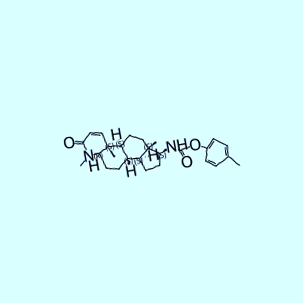 Cc1ccc(OC(=O)N[C@H]2CC[C@H]3[C@@H]4CC[C@H]5N(C)C(=O)C=C[C@]5(C)[C@H]4CC[C@]23C)cc1